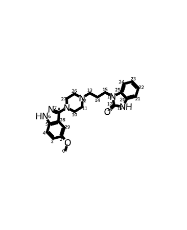 COc1ccc2[nH]nc(N3CCN(CCCn4c(=O)[nH]c5ccccc54)CC3)c2c1